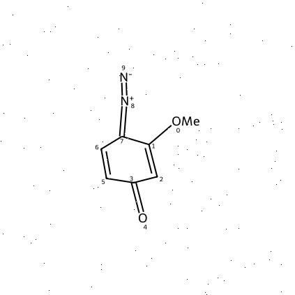 COC1=CC(=O)C=CC1=[N+]=[N-]